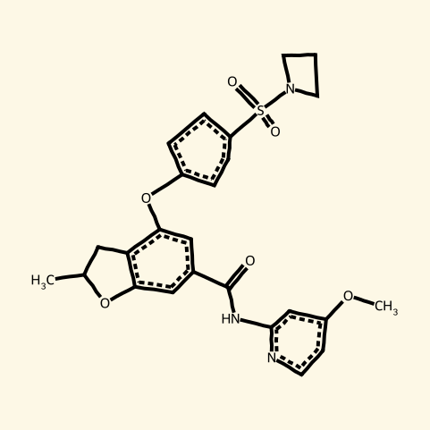 COc1ccnc(NC(=O)c2cc(Oc3ccc(S(=O)(=O)N4CCC4)cc3)c3c(c2)OC(C)C3)c1